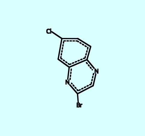 Clc1ccc2ncc(Br)nc2c1